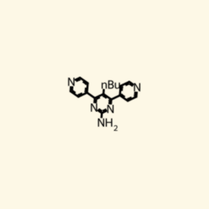 CCCCc1c(-c2ccncc2)nc(N)nc1-c1ccncc1